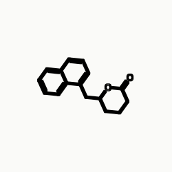 O=C1CCCC(Cc2cccc3ccccc23)O1